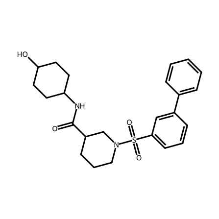 O=C(NC1CCC(O)CC1)C1CCCN(S(=O)(=O)c2cccc(-c3ccccc3)c2)C1